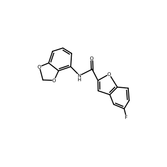 O=C(Nc1cccc2c1OCO2)c1cc2cc(F)ccc2o1